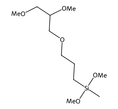 COCC(COCCC[Si](C)(OC)OC)OC